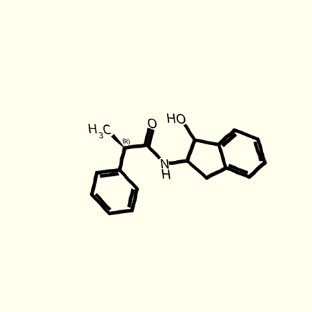 C[C@@H](C(=O)NC1Cc2ccccc2C1O)c1ccccc1